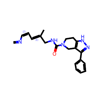 C=N/C=C\C=C(/C)CNC(=O)N1CCc2[nH]nc(-c3ccccc3)c2C1